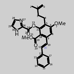 C=C(C)CCc1c(OC)cc(/C=C/c2ccccc2)c(C(=O)OC)c1OC(=O)c1ncc[nH]1